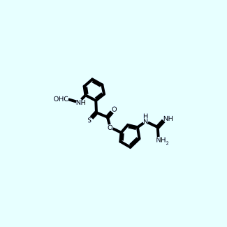 N=C(N)Nc1cccc(OC(=O)C(=S)c2ccccc2NC=O)c1